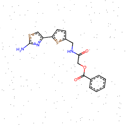 Nc1nc(-c2ccc(CNC(=O)COC(=O)c3ccccc3)s2)cs1